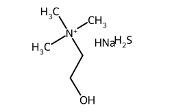 C[N+](C)(C)CCO.S.[NaH]